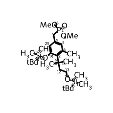 COP(=O)(Cc1cc(C)c(C(C)(C)CCO[Si](C)(C)C(C)(C)C)c(O[Si](C)(C)C(C)(C)C)c1)OC